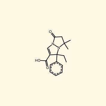 CCC1(c2ccccc2)C(C(=O)O)=CN2C(=O)CC(C)(C)N21